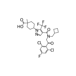 CC1(C(=O)O)CCC(n2ncc(C(=O)N(CC(=O)c3c(Cl)cc(F)cc3Cl)CC3CCC3)c2C(F)(F)F)CC1